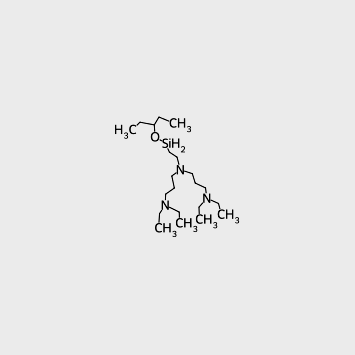 CCC(CC)O[SiH2]CCN(CCCN(CC)CC)CCCN(CC)CC